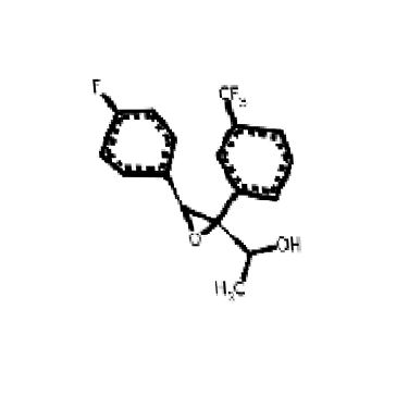 CC(O)[C@@]1(c2cccc(C(F)(F)F)c2)O[C@H]1c1ccc(F)cc1